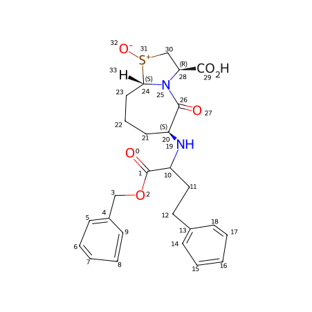 O=C(OCc1ccccc1)C(CCc1ccccc1)N[C@H]1CCC[C@H]2N(C1=O)[C@H](C(=O)O)C[S+]2[O-]